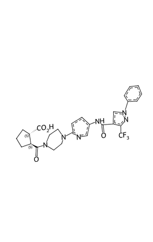 O=C(Nc1ccc(N2CCN(C(=O)[C@H]3CCC[C@@H]3C(=O)O)CC2)nc1)c1cn(-c2ccccc2)nc1C(F)(F)F